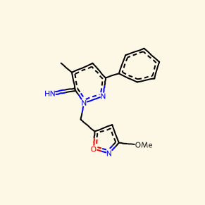 COc1cc(Cn2nc(-c3ccccc3)cc(C)c2=N)on1